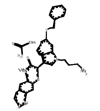 CC(=O)O.NCCCn1cc(-c2nc3cc4[nH]ncc4cc3[nH]c2=O)c2ccc(OCc3ccccc3)cc21